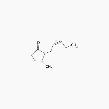 CC/C=C\CC1C(=O)CCC1C